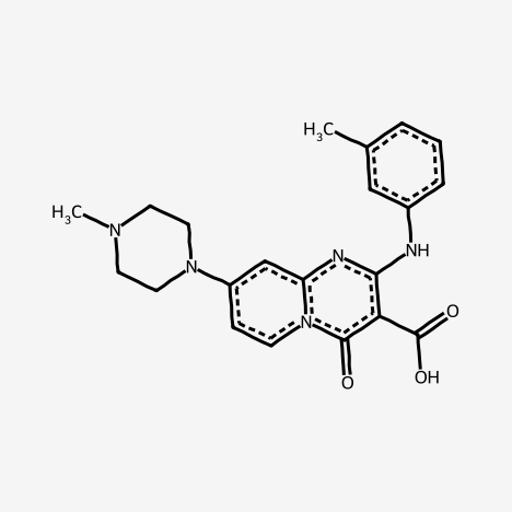 Cc1cccc(Nc2nc3cc(N4CCN(C)CC4)ccn3c(=O)c2C(=O)O)c1